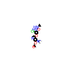 [C-]#[N+]c1cc2c(Oc3ccc(NC(=O)NC4CC4)c(Cl)c3)ccnc2cc1OC[C@H]1CO1